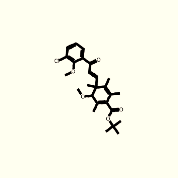 COc1c(Cl)cccc1C(=O)C=CC1(C)C(C)=C(C)C(C(=O)OC(C)(C)C)=C(C)C1OC